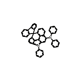 c1ccc(N(c2ccccc2)c2cc3c4c5c(cccc25)C2(c5ccccc5-c5ccccc52)c2cccc(c24)n3-c2ccccc2)cc1